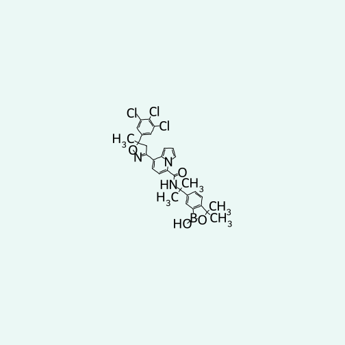 CC(C)(NC(=O)c1ccc(C2=NOC(C)(c3cc(Cl)c(Cl)c(Cl)c3)C2)c2cccn12)c1ccc2c(c1)B(O)OC2(C)C